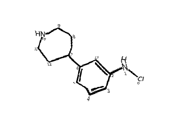 ClNc1cccc(C2CCNCC2)c1